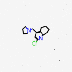 Clc1cc(CN2CCCC2)c2c(n1)CCCC2